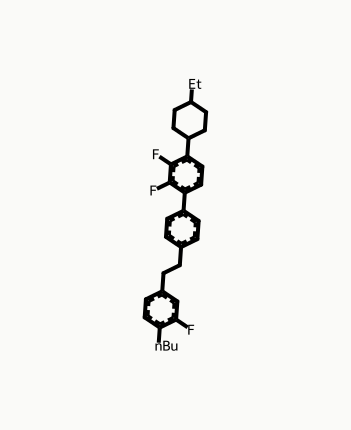 CCCCc1ccc(CCc2ccc(-c3ccc(C4CCC(CC)CC4)c(F)c3F)cc2)cc1F